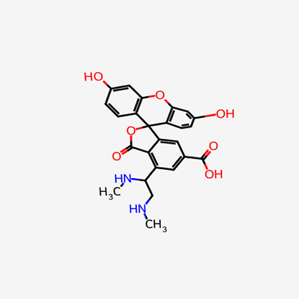 CNCC(NC)c1cc(C(=O)O)cc2c1C(=O)OC21c2ccc(O)cc2Oc2cc(O)ccc21